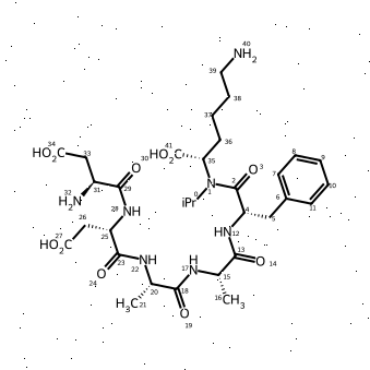 CC(C)N(C(=O)[C@H](Cc1ccccc1)NC(=O)[C@H](C)NC(=O)[C@H](C)NC(=O)[C@H](CC(=O)O)NC(=O)[C@@H](N)CC(=O)O)[C@@H](CCCCN)C(=O)O